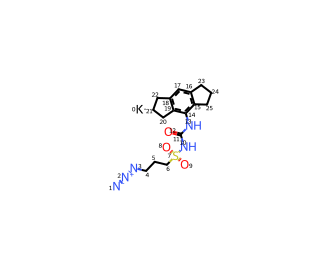 [K].[N-]=[N+]=NCCCS(=O)(=O)NC(=O)Nc1c2c(cc3c1CCC3)CCC2